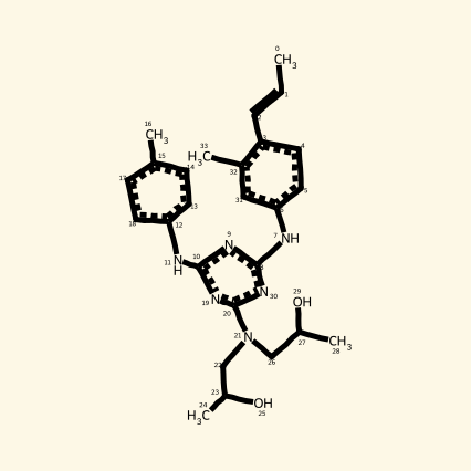 C/C=C/c1ccc(Nc2nc(Nc3ccc(C)cc3)nc(N(CC(C)O)CC(C)O)n2)cc1C